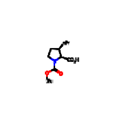 CCC[C@@H]1CCN(C(=O)OC(C)(C)C)[C@@H]1C(=O)O